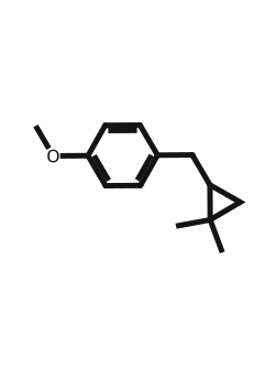 COc1ccc(CC2CC2(C)C)cc1